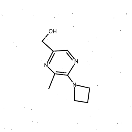 Cc1nc(CO)cnc1N1CCC1